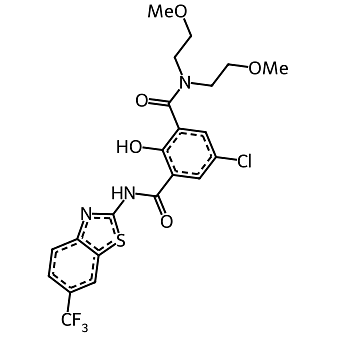 COCCN(CCOC)C(=O)c1cc(Cl)cc(C(=O)Nc2nc3ccc(C(F)(F)F)cc3s2)c1O